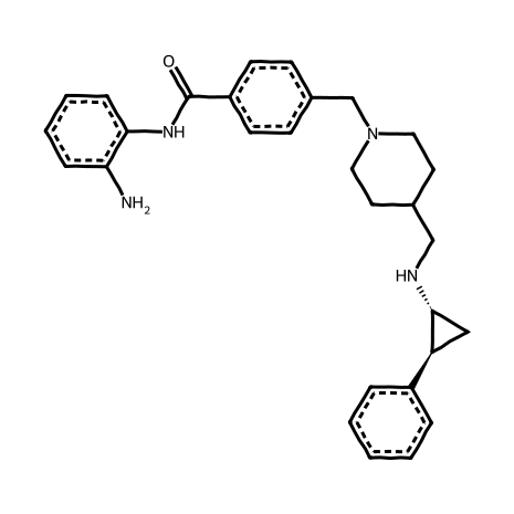 Nc1ccccc1NC(=O)c1ccc(CN2CCC(CN[C@@H]3C[C@H]3c3ccccc3)CC2)cc1